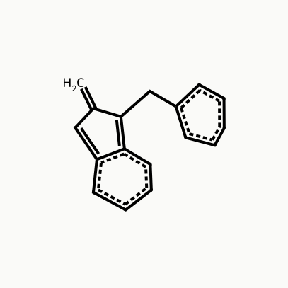 C=C1C=c2ccccc2=C1Cc1ccccc1